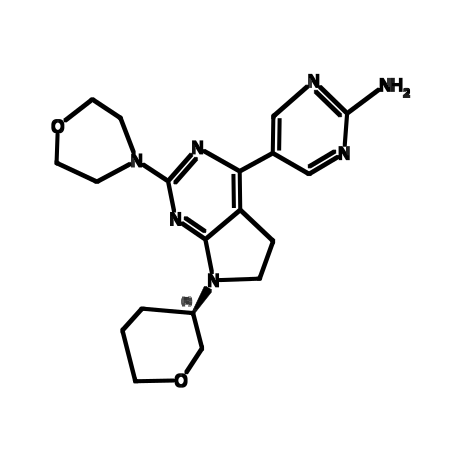 Nc1ncc(-c2nc(N3CCOCC3)nc3c2CCN3[C@@H]2CCCOC2)cn1